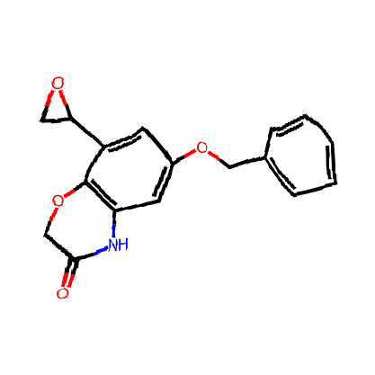 O=C1COc2c(cc(OCc3ccccc3)cc2C2CO2)N1